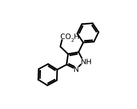 O=C(O)Cc1c(-c2ccccc2)n[nH]c1-c1ccccc1